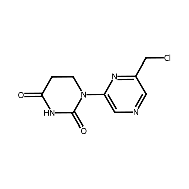 O=C1CCN(c2cncc(CCl)n2)C(=O)N1